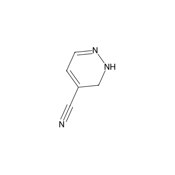 N#CC1=CC=NNC1